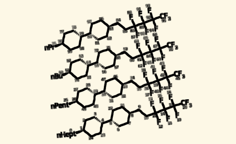 CCCCCCC[C@H]1CC[C@H]([C@H]2CC[C@H](CCC(F)(F)C(F)(F)C(F)(F)C(F)(F)F)CC2)CC1.CCCCC[C@H]1CC[C@H]([C@H]2CC[C@H](CCC(F)(F)C(F)(F)C(F)(F)C(F)(F)F)CC2)CC1.CCCC[C@H]1CC[C@H]([C@H]2CC[C@H](CCC(F)(F)C(F)(F)C(F)(F)C(F)(F)F)CC2)CC1.CCC[C@H]1CC[C@H]([C@H]2CC[C@H](CCC(F)(F)C(F)(F)C(F)(F)C(F)(F)F)CC2)CC1